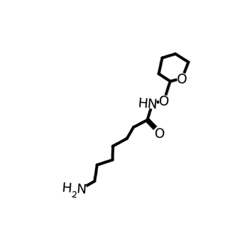 NCCCCCCC(=O)NOC1CCCCO1